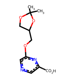 CC1(C)OCC(COc2cncc(C(=O)O)n2)O1